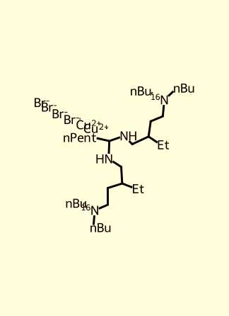 CCCCCC(NCC(CC)CC[16N](CCCC)CCCC)NCC(CC)CC[16N](CCCC)CCCC.[Br-].[Br-].[Br-].[Br-].[Cu+2].[Cu+2]